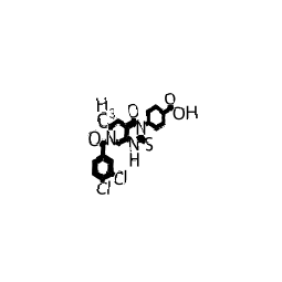 C[C@@H]1Cc2c([nH]c(=S)n(C3CCC(C(=O)O)CC3)c2=O)CN1C(=O)c1ccc(Cl)c(Cl)c1